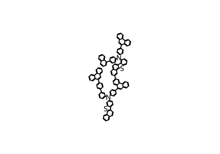 c1cc(-c2ccc(-c3cc4ccccc4c4ccccc34)cc2)cc(N(c2ccc(-c3cc4ccccc4c4cc(-c5ccc6ccc7c(sc8cccc(N(c9ccc(-c%10cccc%11ccccc%10%11)cc9)c9ccc(-c%10cc%11ccccc%11c%11ccccc%10%11)cc9)c87)c6c5)ccc34)cc2)c2ccc3c(c2)sc2c4ccccc4ccc32)c1